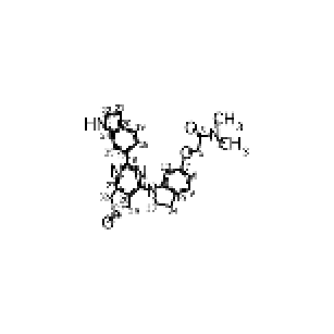 CN(C)C(=O)COc1ccc2c(c1)N(c1nc(-c3ccc4cc[nH]c4c3)nc3c1C[S+]([O-])C3)CC2